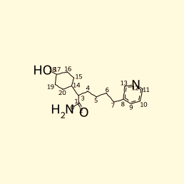 NC(=O)C(CCCCc1cccnc1)C1CCC(O)CC1